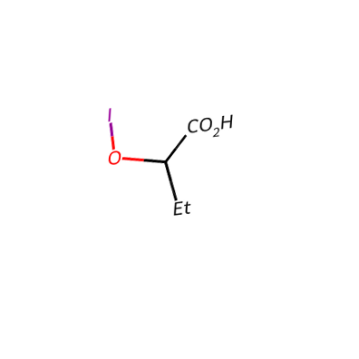 CCC(OI)C(=O)O